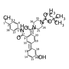 CCc1ccc(NC(=O)c2cc(-c3cccc(O)c3)ccc2C(=O)N2CCN(C(=O)OC(C)(C)C)CC2)cc1